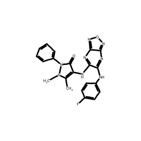 Cc1c(Nc2nc3nonc3nc2Nc2ccc(F)cc2)c(=O)n(-c2ccccc2)n1C